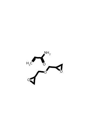 C(OCC1CO1)C1CO1.C=CC(N)=O